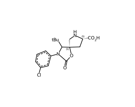 CC(C)(C)C1N(c2cccc(Cl)c2)C(=O)O[C@@]12CN[C@H](C(=O)O)C2